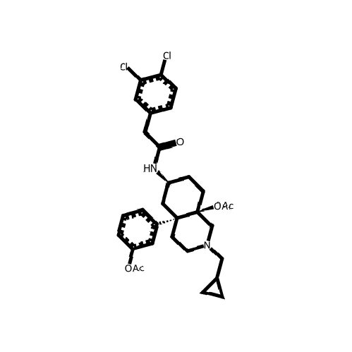 CC(=O)Oc1cccc([C@@]23CCN(CC4CC4)C[C@@]2(OC(C)=O)CC[C@H](NC(=O)Cc2ccc(Cl)c(Cl)c2)C3)c1